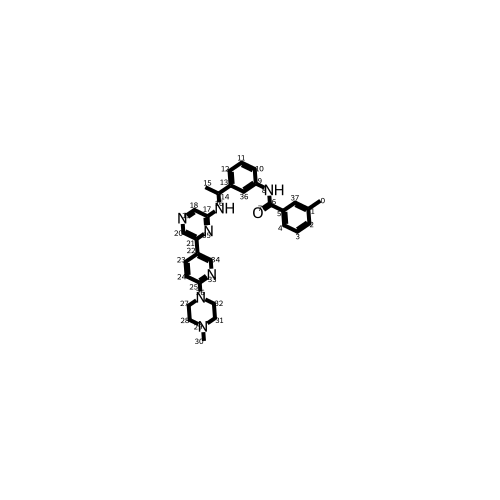 Cc1cccc(C(=O)Nc2cccc(C(C)Nc3cncc(-c4ccc(N5CCN(C)CC5)nc4)n3)c2)c1